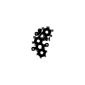 O=C1c2ccccc2C(=O)c2c1ccc1c2Nc2ccccc2S1(=O)=O